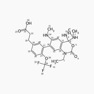 CCN1C(=O)OC(NC)(NC)c2cc(NC)c(-c3cc(CCC(=O)O)ccc3OC(F)(F)F)cc21